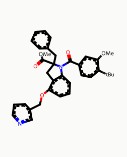 COC(=O)C1(Cc2ccccc2)Cc2c(OCc3cccnc3)cccc2N1C(=O)c1ccc(C(C)(C)C)c(OC)c1